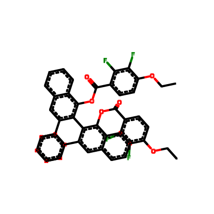 CCOc1ccc(C(=O)Oc2c(-c3c(-c4ccccc4)cc4ccccc4c3OC(=O)c3ccc(OCC)c(F)c3F)c(-c3ccccc3)cc3ccccc23)c(F)c1F